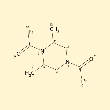 CC(C)C(=O)N1CC(C)N(C(=O)C(C)C)C(C)C1